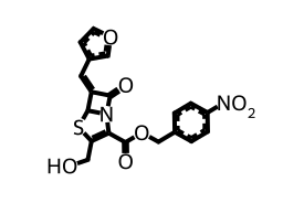 O=C(OCc1ccc([N+](=O)[O-])cc1)C1=C(CO)SC2C(=Cc3ccoc3)C(=O)N12